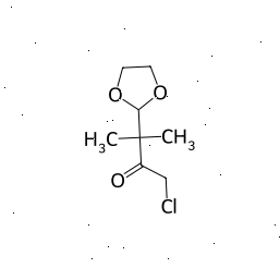 CC(C)(C(=O)CCl)C1OCCO1